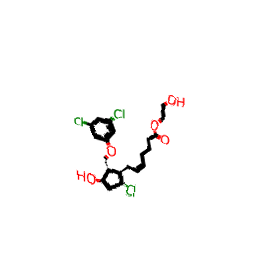 O=C(CCC/C=C\C[C@@H]1[C@@H](COc2cc(Cl)cc(Cl)c2)[C@H](O)C[C@H]1Cl)OCCO